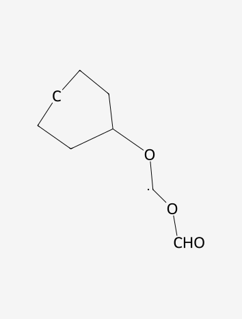 O=CO[CH]OC1CCCCC1